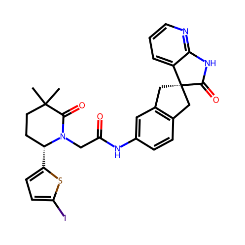 CC1(C)CC[C@@H](c2ccc(I)s2)N(CC(=O)Nc2ccc3c(c2)C[C@@]2(C3)C(=O)Nc3ncccc32)C1=O